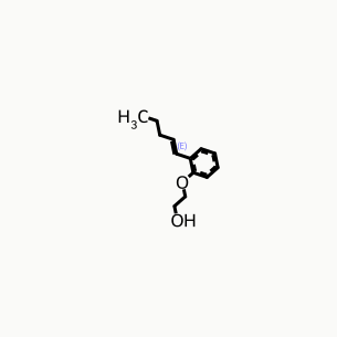 CCC/C=C/c1ccccc1OCCO